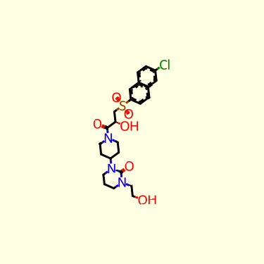 O=C([C@H](O)CS(=O)(=O)c1ccc2cc(Cl)ccc2c1)N1CCC(N2CCCN(CCO)C2=O)CC1